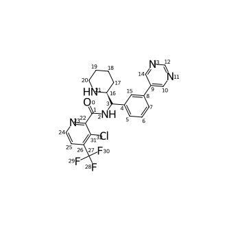 O=C(NC(c1cccc(-c2cncnc2)c1)[C@@H]1CCCCN1)c1nccc(C(F)(F)F)c1Cl